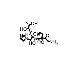 C[C@H](O)C(O)OPC(O)(Cn1ccnc1)[P@](O)[C@@]12CCCC1(C(=O)CN)OO2